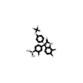 O=C1Nc2c(ccc(F)c2F)[C@@]1(c1ccc(OC(F)(F)F)cc1)c1ccc(B(O)O)c(F)c1